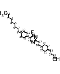 CCCCCCCCCc1ccc(-c2cnc(CCC3CCC(CCCC)CC3)nc2F)cc1